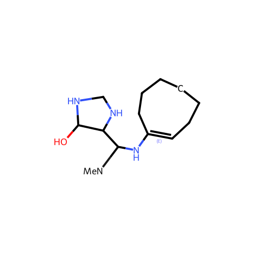 CNC(N/C1=C/CCCCCC1)C1NCNC1O